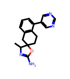 CC1N=C(N)OC12CCc1c(cccc1-c1cncnc1)C2